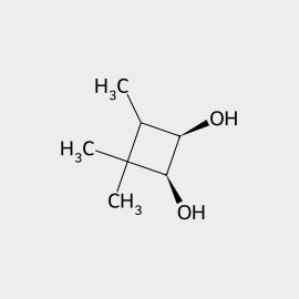 CC1[C@@H](O)[C@@H](O)C1(C)C